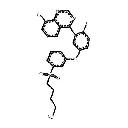 N#CCCCCS(=O)(=O)c1cccc(Oc2ccc(F)c(-c3ncnc4c(Cl)cccc34)c2)c1